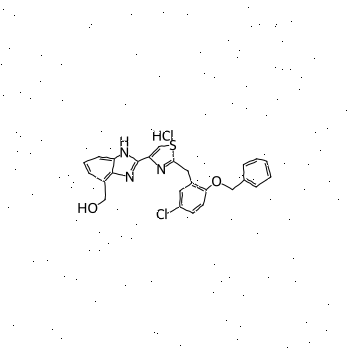 Cl.OCc1cccc2[nH]c(-c3csc(Cc4cc(Cl)ccc4OCc4ccccc4)n3)nc12